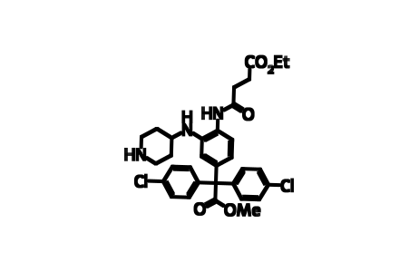 CCOC(=O)CCC(=O)Nc1ccc(C(C(=O)OC)(c2ccc(Cl)cc2)c2ccc(Cl)cc2)cc1NC1CCNCC1